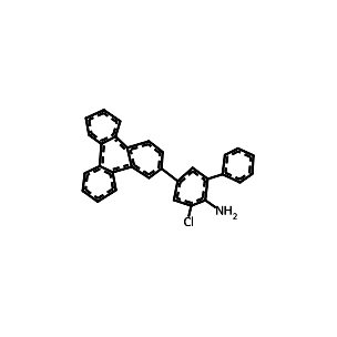 Nc1c(Cl)cc(-c2ccc3c4ccccc4c4ccccc4c3c2)cc1-c1ccccc1